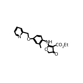 CCOC(=O)C1=C(Nc2ccc(OCc3ccccn3)cc2C)OCC1=O